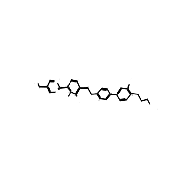 CCCCc1ccc(-c2ccc(CCc3ccc(-c4ncc(CC)cn4)c(F)c3F)cc2)cc1F